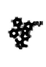 Cc1noc(C)c1-c1cnc2c3cc(C(=O)O)cnc3n(C(c3ccccc3)C3CCOCC3)c2c1